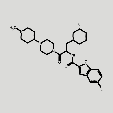 CN1CCC(N2CCN(C(=O)[C@@H](CC3CCCCC3)NC(=O)c3cc4cc(Cl)ccc4[nH]3)CC2)CC1.Cl